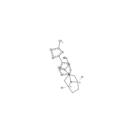 CC(C)(C)OC(=O)N1C[C@H]2CC[C@@H](C1)N2c1ccc(-c2noc(C(F)(F)F)n2)cn1